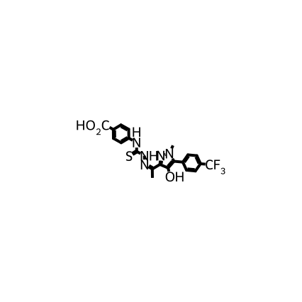 C/C(=N/NC(=S)Nc1ccc(C(=O)O)cc1)c1nn(C)c(-c2ccc(C(F)(F)F)cc2)c1O